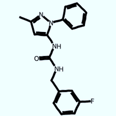 Cc1cc(NC(=O)NCc2cccc(F)c2)n(-c2ccccc2)n1